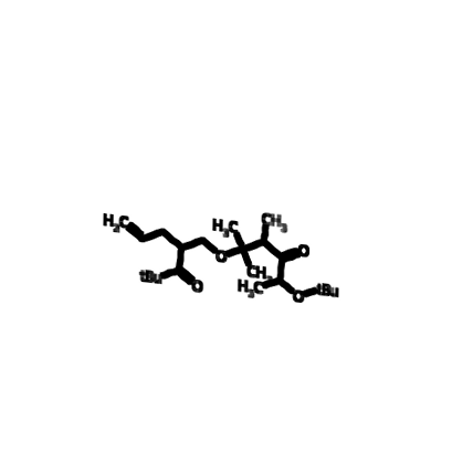 C=CCC(COC(C)(C)C(C)C(=O)C(C)OC(C)(C)C)C(=O)C(C)(C)C